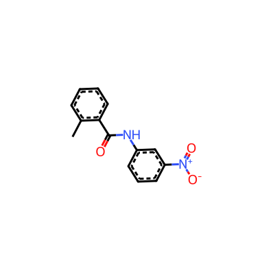 Cc1ccccc1C(=O)Nc1cccc([N+](=O)[O-])c1